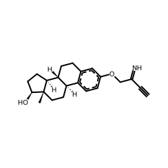 C#CC(=N)COc1ccc2c(c1)CC[C@@H]1[C@@H]2CC[C@]2(C)[C@@H](O)CC[C@@H]12